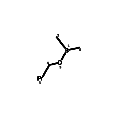 CB(C)OCC(C)C